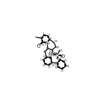 Cc1ccc2n(c1=O)C(Cc1cccc(-c3ccccc3)c1)C(N[SH](C)(C)=O)CC2